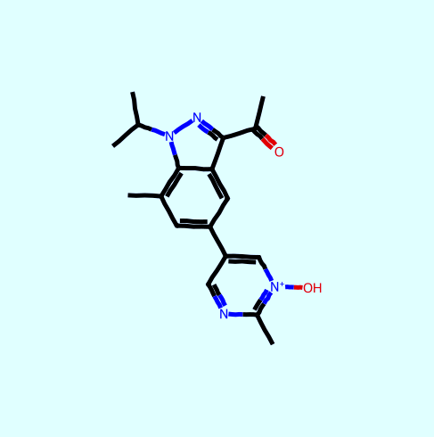 CC(=O)c1nn(C(C)C)c2c(C)cc(-c3cnc(C)[n+](O)c3)cc12